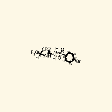 CCC(NC(=O)NNS(=O)(=O)c1ccc(Br)cc1)(C(F)(F)F)C(F)(F)F